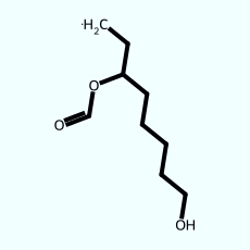 [CH2]CC(CCCCCO)OC=O